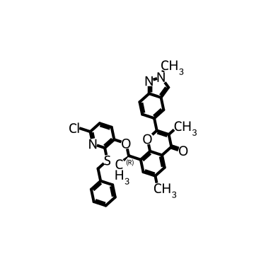 Cc1cc([C@@H](C)Oc2ccc(Cl)nc2SCc2ccccc2)c2oc(-c3ccc4nn(C)cc4c3)c(C)c(=O)c2c1